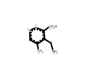 Cc1cnnc(C(=O)O)c1CN